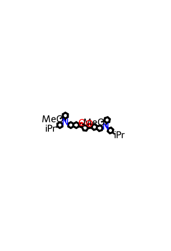 COc1ccccc1N(c1ccc(C(C)C)cc1)c1ccc2cc3c(cc2c1)oc1c3ccc2c3cc4ccc(N(c5ccc(C(C)C)cc5)c5ccccc5OC)cc4cc3oc21